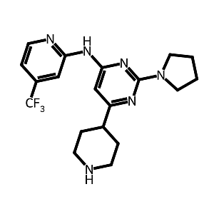 FC(F)(F)c1ccnc(Nc2cc(C3CCNCC3)nc(N3CCCC3)n2)c1